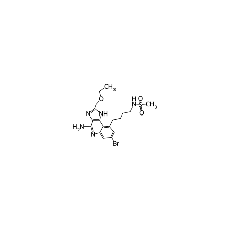 CCOCc1nc2c(N)nc3cc(Br)cc(CCCCNS(C)(=O)=O)c3c2[nH]1